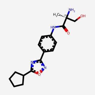 C[C@](N)(CO)C(=O)Nc1ccc(-c2noc(C3CCCC3)n2)cc1